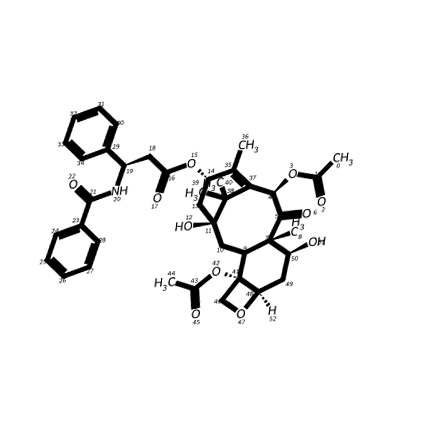 CC(=O)O[C@H]1C(=O)[C@@]2(C)C(C[C@]3(O)C[C@H](OC(=O)C[C@@H](NC(=O)c4ccccc4)c4ccccc4)C(C)=C1C3(C)C)[C@]1(OC(C)=O)CO[C@@H]1C[C@@H]2O